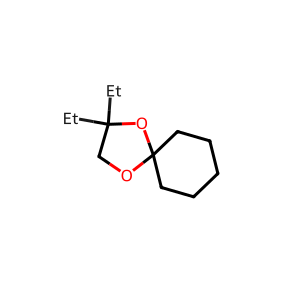 CCC1(CC)COC2(CCCCC2)O1